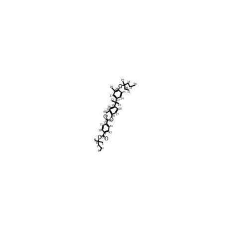 CCCC(C)(C)OC(=O)c1ccc(C(=O)Oc2ccc(C(C)(C)c3ccc(OC(C)(CC)CCC)c(C)c3)cc2C)cc1